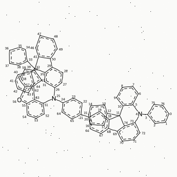 c1ccc(N2c3ccccc3C3(c4ccccc4)c4cc(-c5ccc(N(c6ccc7c(c6)C(c6ccccc6)(c6ccccc6)c6ccccc6-7)c6cccc7oc8ccccc8c67)cc5)ccc4-c4cccc2c43)cc1